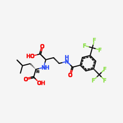 CC(C)C[C@H](NC(CCNC(=O)c1cc(C(F)(F)F)cc(C(F)(F)F)c1)C(=O)O)C(=O)O